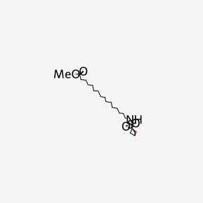 COC(=O)CCCCCCCCCCCCCCCNS(=O)(=O)C12CC(C1)C2